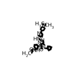 C=CC(=O)Nc1cccc(N2C(=O)N(Cc3ccccc3)Cc3cnc(Nc4ccc(C5CCC(N(C)C)CC5)nc4)nc32)c1